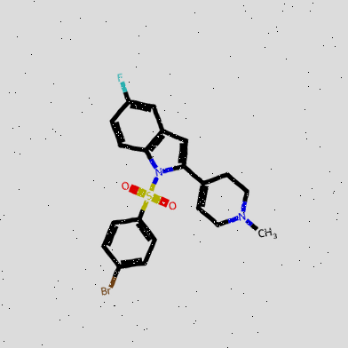 CN1CC=C(c2cc3cc(F)ccc3n2S(=O)(=O)c2ccc(Br)cc2)CC1